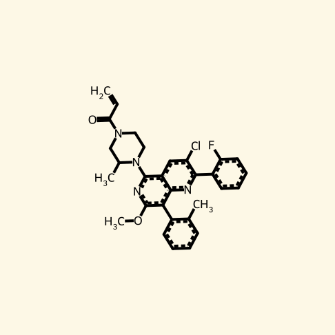 C=CC(=O)N1CCN(c2nc(OC)c(-c3ccccc3C)c3nc(-c4ccccc4F)c(Cl)cc23)C(C)C1